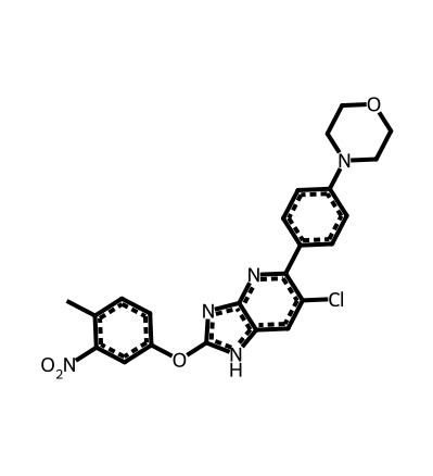 Cc1ccc(Oc2nc3nc(-c4ccc(N5CCOCC5)cc4)c(Cl)cc3[nH]2)cc1[N+](=O)[O-]